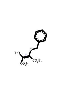 CCOC(=O)/C(OCc1ccccc1)=C(/O)C(=O)O